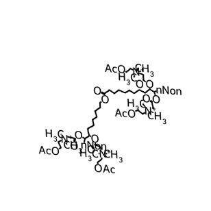 CCCCCCCCCC(OC(=O)C[N+](C)(C)CCOC(C)=O)C(CCCCCCCCC(=O)OCCCCCCCC(OC(=O)C[N+](C)(C)CCOC(C)=O)C(CCCCCCCCC)OC(=O)C[N+](C)(C)CCOC(C)=O)OC(=O)C[N+](C)(C)CCOC(C)=O